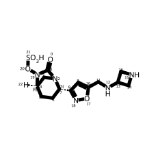 O=C1N2C[C@@H](CC[C@H]2c2cc(CNC3CNC3)on2)N1OS(=O)(=O)O